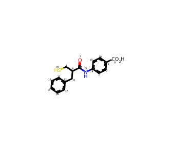 O=C(O)c1ccc(NC(=O)C(CS)Cc2ccccc2)cc1